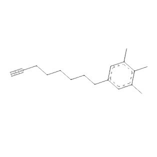 [C]#CCCCCCCc1cc(C)c(C)c(C)c1